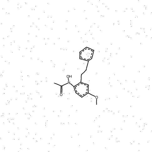 COc1ccc(N(O)C(C)=O)c(CCc2ccccc2)c1